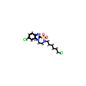 O=S1(=O)c2nc3ccc(Cl)cc3n2CCN1CCCCCCCl